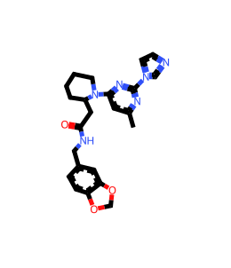 Cc1cc(N2CCCCC2CC(=O)NCc2ccc3c(c2)OCO3)nc(-n2ccnc2)n1